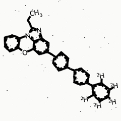 [2H]c1c([2H])c([2H])c(-c2ccc(-c3ccc(-c4cc5c6c(c4)nc(CC)n6-c4ccccc4O5)cc3)cc2)c([2H])c1[2H]